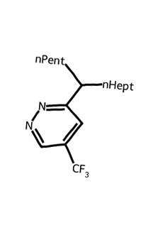 CCCCCCCC(CCCCC)c1cc(C(F)(F)F)cnn1